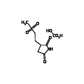 CS(=O)(=O)CCC1CC(=O)NC1=O.O=C(O)O